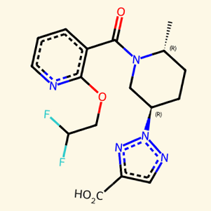 C[C@@H]1CC[C@@H](n2ncc(C(=O)O)n2)CN1C(=O)c1cccnc1OCC(F)F